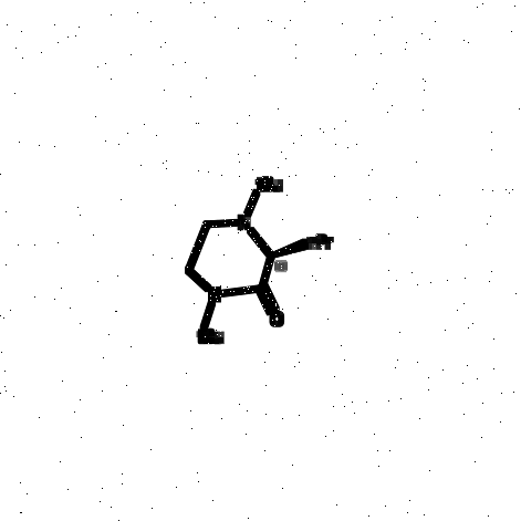 CCC[C@H]1C(=O)N(C(C)(C)C)CCN1C(C)(C)C